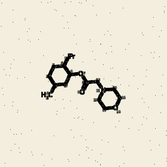 CC1CCC(C(C)C)C(OC(=O)CN2CCOCC2)C1